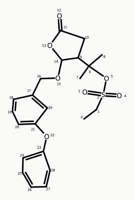 CCS(=O)(=O)OC(C)(C)C1CC(=O)OC1OCc1cccc(Oc2ccccc2)c1